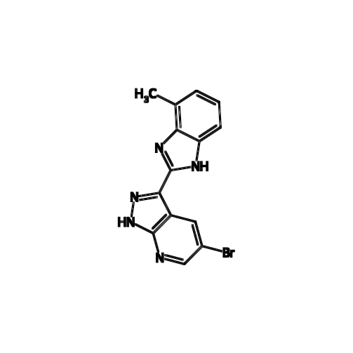 Cc1cccc2[nH]c(-c3n[nH]c4ncc(Br)cc34)nc12